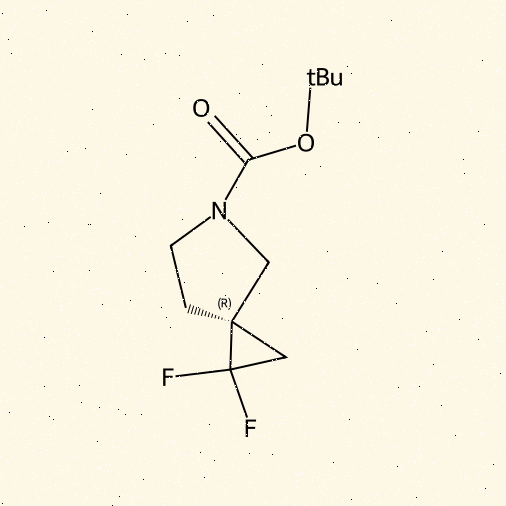 CC(C)(C)OC(=O)N1CC[C@]2(C1)CC2(F)F